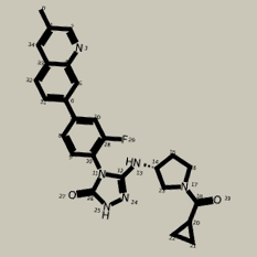 Cc1cnc2cc(-c3ccc(-n4c(N[C@@H]5CCN(C(=O)C6CC6)C5)n[nH]c4=O)c(F)c3)ccc2c1